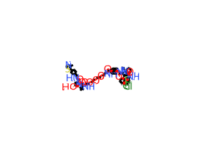 CCN1[C@@H](C(=O)NC23CCC(C(=O)NCCOCCOCCOCC(=O)N[C@H](C(=O)N4C[C@H](O)C[C@H]4C(=O)NCc4ccc(-c5scnc5C)cc4)C(C)(C)C)(CC2)CC3)[C@H](c2cccc(Cl)c2F)[C@]2(C(=O)Nc3cc(Cl)ccc32)C12CCCCC2